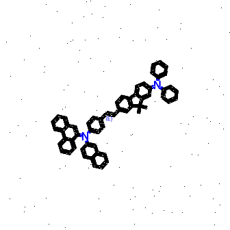 CC1(C)c2cc(/C=C/c3ccc(N(c4ccc5ccccc5c4)c4cc5ccccc5c5ccccc45)cc3)ccc2-c2ccc(N(c3ccccc3)c3ccccc3)cc21